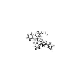 NC(=O)C(=O)C(Cc1ccccc1)NC(=O)c1cccnc1-n1ccc(-c2cccs2)n1